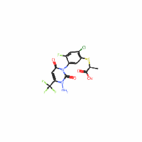 CC(Sc1cc(-n2c(=O)cc(C(F)(F)F)n(N)c2=O)c(F)cc1Cl)C(=O)O